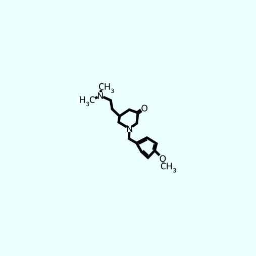 COc1ccc(CN2CC(=O)CC(CCN(C)C)C2)cc1